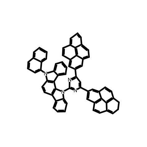 C1=c2ccc3cc(-c4cc(-c5cc6ccc7cccc8ccc(c5)c6c78)nc(-n5c6ccccc6c6ccc7c(c8ccccc8n7-c7cccc8ccccc78)c65)n4)cc4ccc(c2c43)CC1